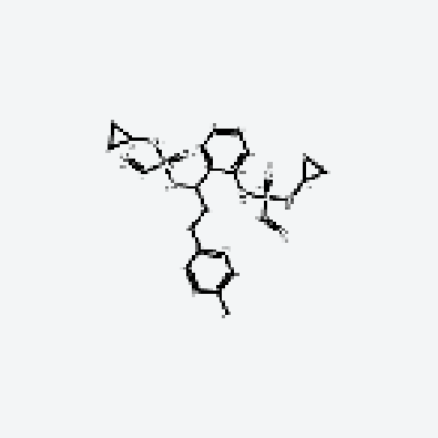 Cc1ccc(CCC(OP(=O)(C=O)OC2CC2)c2ccccc2OP(=O)(C=O)OC2CC2)cc1